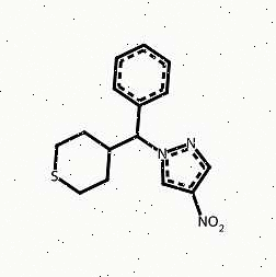 O=[N+]([O-])c1cnn(C(c2ccccc2)C2CCSCC2)c1